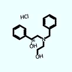 Cl.OCCN(Cc1ccccc1)C[C@H](O)c1ccccc1